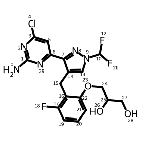 Nc1nc(Cl)cc(-c2nn(C(F)F)cc2Cc2c(F)cccc2OCC(O)CO)n1